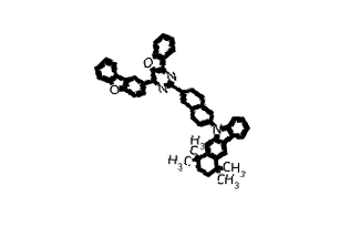 CC1(C)CCC(C)(C)c2cc3c(cc21)c1ccccc1n3C1=CCC2C=C(c3nc(-c4ccc5oc6ccccc6c5c4)c4oc5ccccc5c4n3)C=CC2=C1